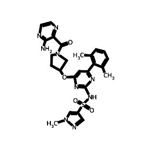 Cc1cccc(C)c1-c1cc(OC2CCN(C(=O)c3nccnc3N)C2)nc(NS(=O)(=O)c2cnn(C)c2)n1